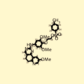 COc1cnc2c(c1)-c1nc(Nc3cc(OC)c(OCCOS(=O)(=O)c4ccc(C)cc4)c(OC)c3)ncc1CC2